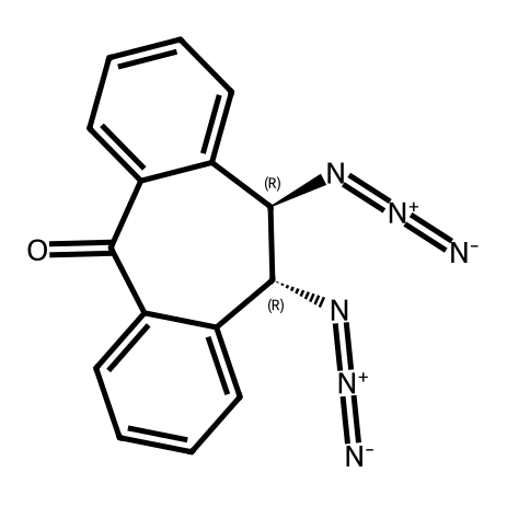 [N-]=[N+]=N[C@@H]1c2ccccc2C(=O)c2ccccc2[C@H]1N=[N+]=[N-]